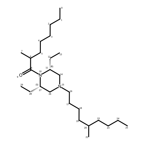 CCCCCCC(C)C(=O)N1[C@H](CC)CN(CCCCC(C)CCCC)C[C@@H]1CC